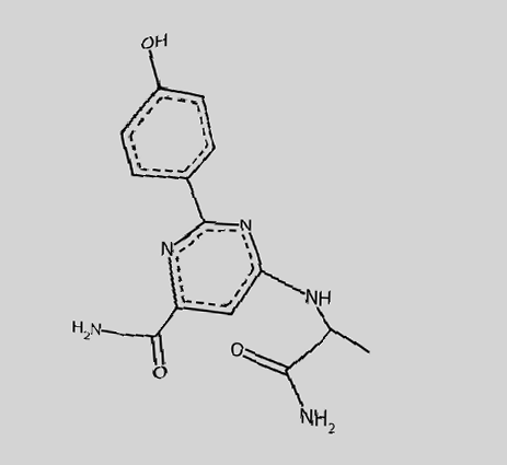 CC(Nc1cc(C(N)=O)nc(-c2ccc(O)cc2)n1)C(N)=O